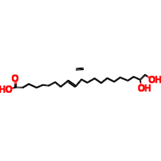 C=C.O=C(O)CCCCCCCC=CCCCCCCCCCC(O)CO